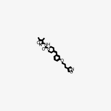 Cc1onc(NC(=O)N2CCC(=Cc3cccc(OCCCc4cnoc4)c3)CC2)c1C